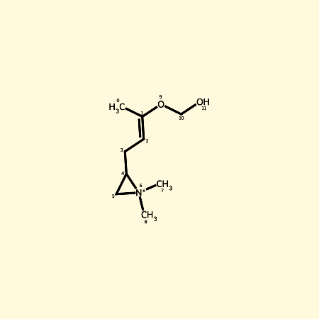 C/C(=C\CC1C[N+]1(C)C)OCO